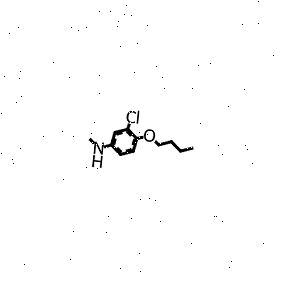 CCCCOc1ccc(NC)cc1Cl